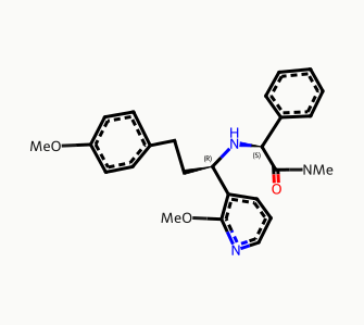 CNC(=O)[C@@H](N[C@H](CCc1ccc(OC)cc1)c1cccnc1OC)c1ccccc1